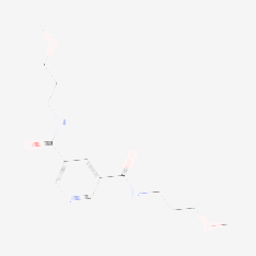 COCCCNC(=O)c1cncc(C(=O)NCCCOC)c1